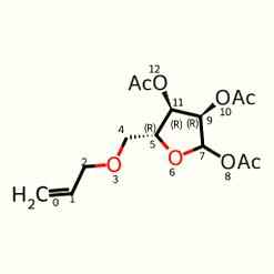 C=CCOC[C@H]1OC(OC(C)=O)[C@H](OC(C)=O)[C@@H]1OC(C)=O